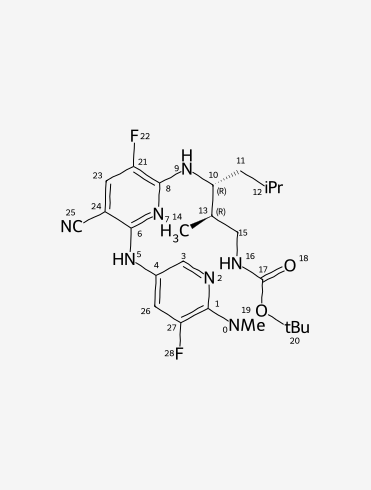 CNc1ncc(Nc2nc(N[C@H](CC(C)C)[C@H](C)CNC(=O)OC(C)(C)C)c(F)cc2C#N)cc1F